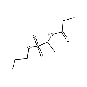 CCCOS(=O)(=O)C(C)NC(=O)CC